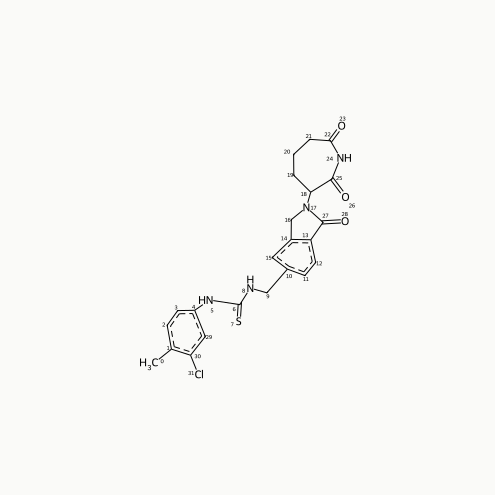 Cc1ccc(NC(=S)NCc2ccc3c(c2)CN(C2CCCC(=O)NC2=O)C3=O)cc1Cl